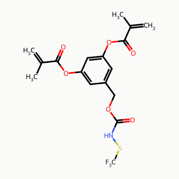 C=C(C)C(=O)Oc1cc(COC(=O)NSC(F)(F)F)cc(OC(=O)C(=C)C)c1